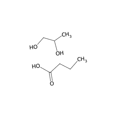 CC(O)CO.CCCC(=O)O